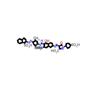 COc1cc(/N=N/c2ccc3ccccc3c2S(=O)(=O)O)c(C)cc1NNc1c(S(=O)(=O)O)cc2cc(/N=N/C3C(=O)N(c4ccc(S(=O)(=O)O)cc4)N=C3C(=O)O)ccc2c1O